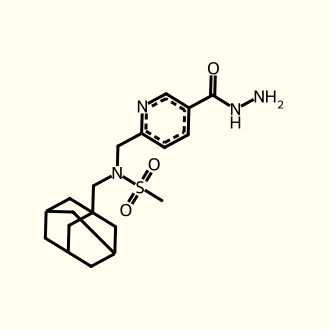 CS(=O)(=O)N(Cc1ccc(C(=O)NN)cn1)CC12CC3CC(CC(C3)C1)C2